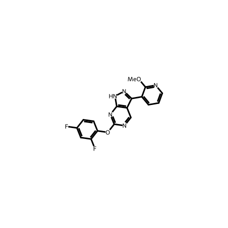 COc1ncccc1-c1n[nH]c2nc(Oc3ccc(F)cc3F)ncc12